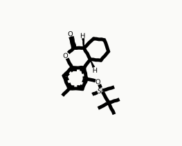 Cc1cc2c(c(O[Si](C)(C)C(C)(C)C)c1)[C@H]1CCCC[C@H]1C(=O)O2